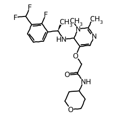 CC1=NC=C(OCC(=O)NC2CCOCC2)C(N[C@H](C)c2cccc(C(F)F)c2F)N1C